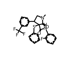 CN1CC(c2cccc(C(F)(F)F)c2)C(Sc2ccccc2)(C(=O)Nc2ccccc2F)C1=O